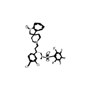 CN(C[C@@H](CCN1CCC2(CC1)C[S+]([O-])c1ccccc12)c1ccc(Cl)c(Cl)c1)S(=O)(=O)c1c(F)c(F)c(F)c(F)c1F